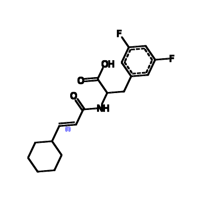 O=C(/C=C/C1CCCCC1)NC(Cc1cc(F)cc(F)c1)C(=O)O